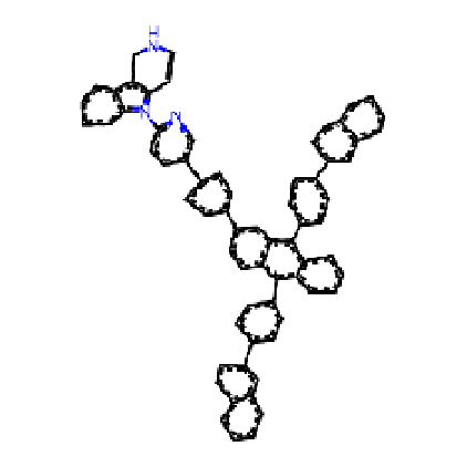 C1=Cc2c(c3ccccc3n2-c2ccc(-c3ccc(-c4ccc5c(-c6ccc(-c7ccc8ccccc8c7)cc6)c6ccccc6c(-c6ccc(-c7ccc8ccccc8c7)cc6)c5c4)cc3)cn2)CN1